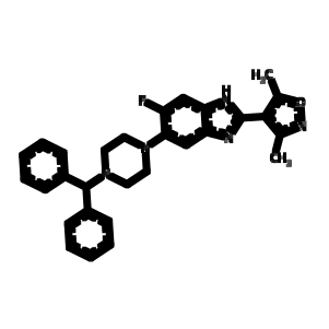 Cc1noc(C)c1-c1nc2cc(N3CCN(C(c4ccccc4)c4ccccc4)CC3)c(F)cc2[nH]1